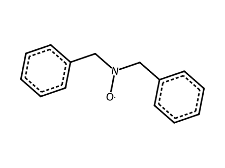 [O]N(Cc1ccccc1)Cc1ccccc1